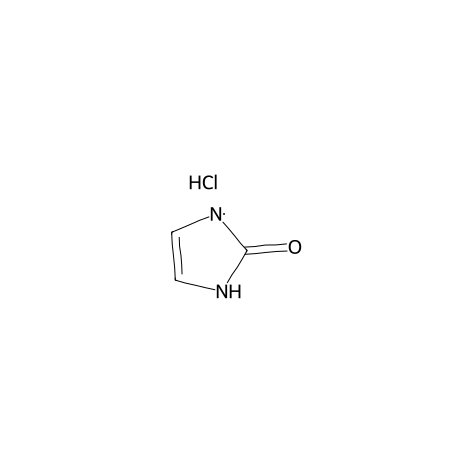 Cl.O=C1[N]C=CN1